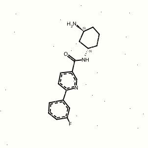 N[C@H]1CCC[C@H](NC(=O)c2ccc(-c3cccc(F)c3)nc2)C1